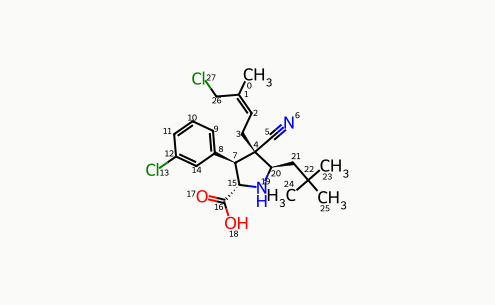 CC(=CC[C@]1(C#N)[C@H](c2cccc(Cl)c2)[C@@H](C(=O)O)N[C@@H]1CC(C)(C)C)CCl